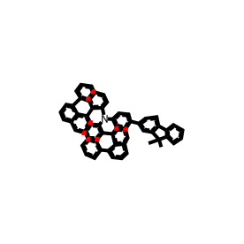 CC1(C)c2ccccc2-c2ccc(-c3ccc(N(c4ccccc4-c4cccc5cccc(-c6ccccc6)c45)c4ccccc4-c4cccc5cccc(-c6ccccc6)c45)cc3)cc21